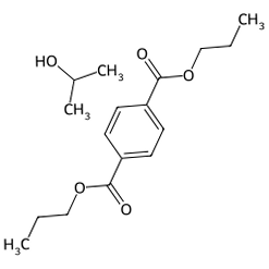 CC(C)O.CCCOC(=O)c1ccc(C(=O)OCCC)cc1